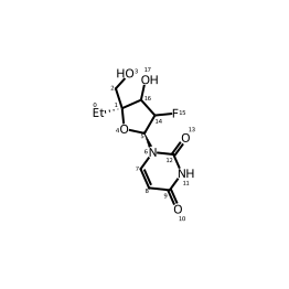 CC[C@@]1(CO)O[C@H](n2ccc(=O)[nH]c2=O)C(F)C1O